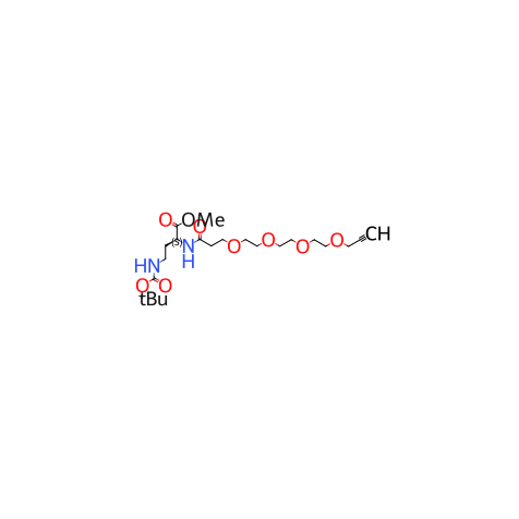 C#CCOCCOCCOCCOCCC(=O)N[C@@H](CCNC(=O)OC(C)(C)C)C(=O)OC